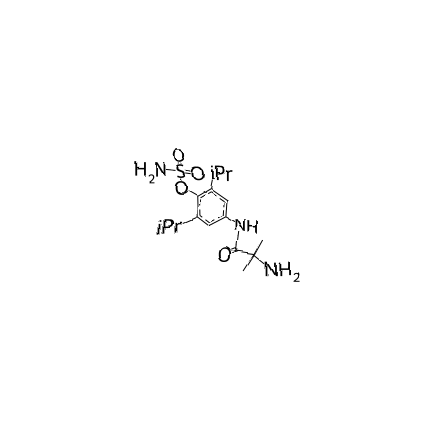 CC(C)c1cc(NC(=O)C(C)(C)N)cc(C(C)C)c1OS(N)(=O)=O